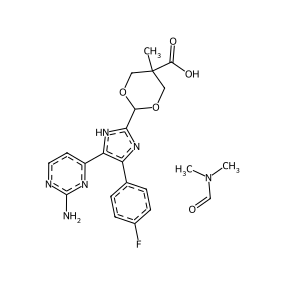 CC1(C(=O)O)COC(c2nc(-c3ccc(F)cc3)c(-c3ccnc(N)n3)[nH]2)OC1.CN(C)C=O